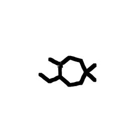 CCC1CCC(C)(C)CCN1C